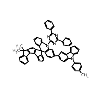 Cc1ccc(-n2c3ccccc3c3cc(-c4ccc5c(c4)N(c4nc(-c6ccccc6)nc(-c6ccccc6)n4)c4ccccc4C54c5ccccc5-c5c4ccc4c5-c5ccccc5C4(C)C)ccc32)cc1